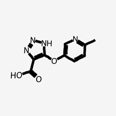 Cc1ccc(Oc2[nH]nnc2C(=O)O)cn1